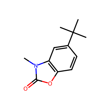 Cn1c(=O)oc2ccc(C(C)(C)C)cc21